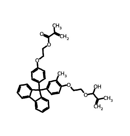 C=C(C)C(=O)OCCOc1ccc(C2(c3ccc(OCCOC(O)C(=C)C)c(C)c3)c3ccccc3-c3ccccc32)cc1